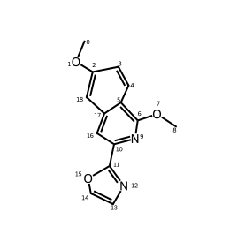 COc1ccc2c(OC)nc(-c3ncco3)cc2c1